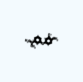 Bc1ccc(Oc2cccc(N(C)C)c2)cc1F